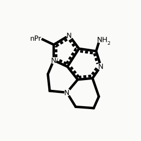 CCCc1nc2c(N)nc3c4c2n1CCN4CCC3